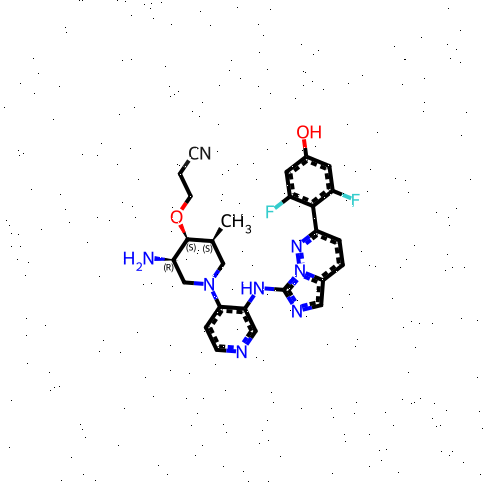 C[C@H]1CN(c2ccncc2Nc2ncc3ccc(-c4c(F)cc(O)cc4F)nn23)C[C@@H](N)[C@H]1OCCC#N